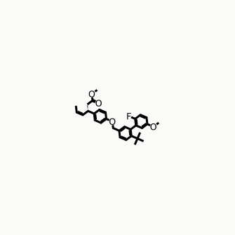 C/C=C\[C@H](CC(=O)OC)c1ccc(OCc2ccc(C(C)(C)C)c(-c3cc(OC)ccc3F)c2)cc1